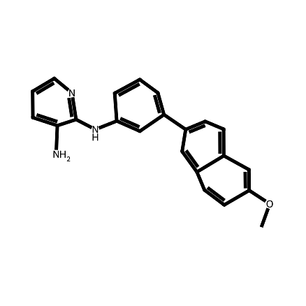 COc1ccc2cc(-c3cccc(Nc4ncccc4N)c3)ccc2c1